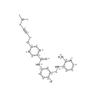 CN(C)CC#CCOc1cnc(C(=O)Nc2ccc(F)c(CNc3cccnc3N)c2)cn1